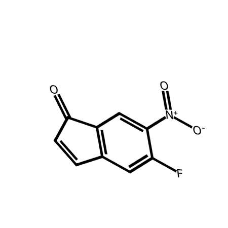 O=C1C=Cc2cc(F)c([N+](=O)[O-])cc21